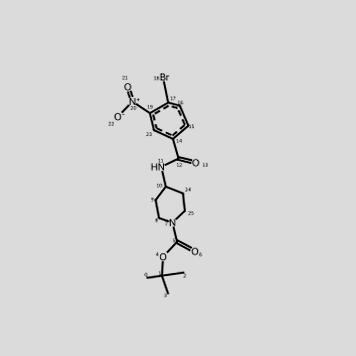 CC(C)(C)OC(=O)N1CCC(NC(=O)c2ccc(Br)c([N+](=O)[O-])c2)CC1